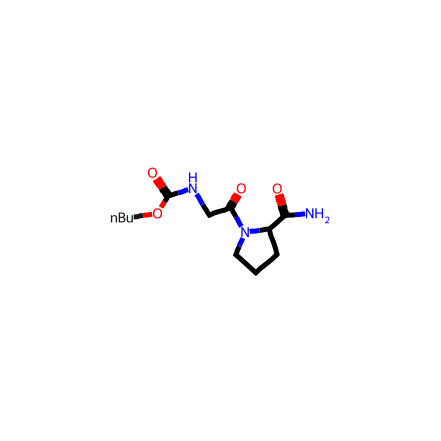 CCCCOC(=O)NCC(=O)N1CCCC1C(N)=O